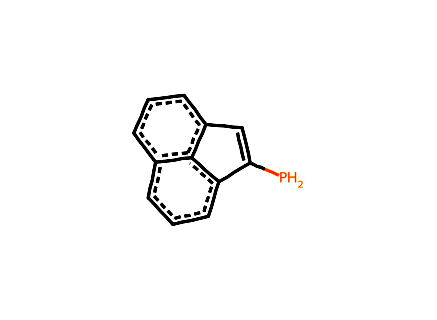 PC1=Cc2cccc3cccc1c23